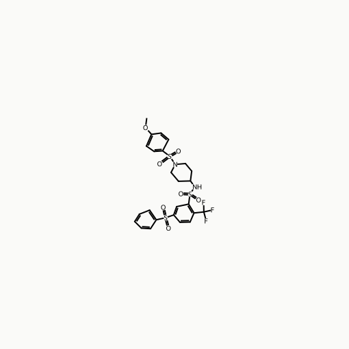 COc1ccc(S(=O)(=O)N2CCC(NS(=O)(=O)c3cc(S(=O)(=O)c4ccccc4)ccc3C(F)(F)F)CC2)cc1